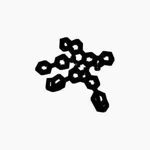 c1ccc(-c2ccc(N3B4c5c(cc6c(oc7ccccc76)c5-n5c6ccc(C78CC9CC(CC(C9)C7)C8)cc6c6cc(C78CC9CC(CC(C9)C7)C8)cc4c65)-c4ccc5ccccc5c43)cc2)cc1